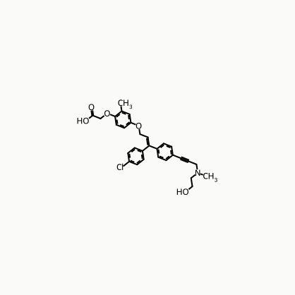 Cc1cc(OCC=C(c2ccc(Cl)cc2)c2ccc(C#CCN(C)CCO)cc2)ccc1OCC(=O)O